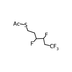 CC(=O)SCCC(F)C(F)CC(F)(F)F